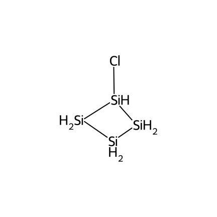 Cl[SiH]1[SiH2][SiH2][SiH2]1